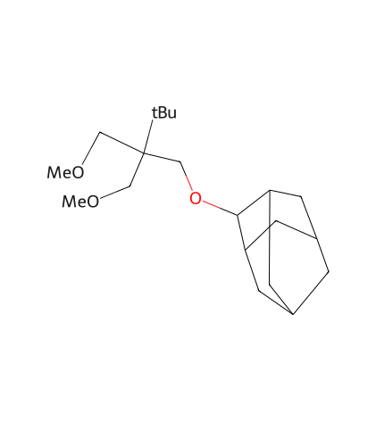 COCC(COC)(COC1C2CC3CC(C2)CC1C3)C(C)(C)C